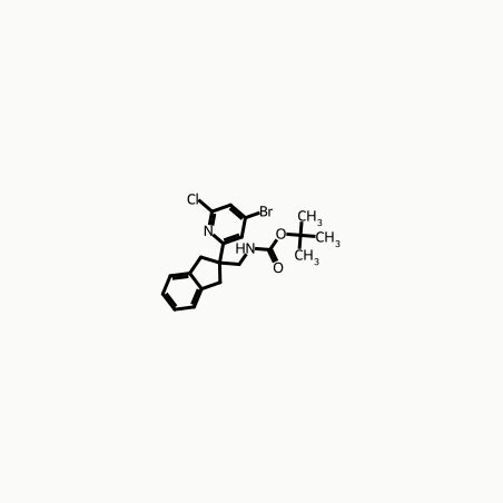 CC(C)(C)OC(=O)NCC1(c2cc(Br)cc(Cl)n2)Cc2ccccc2C1